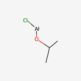 CC(C)[O][Al][Cl]